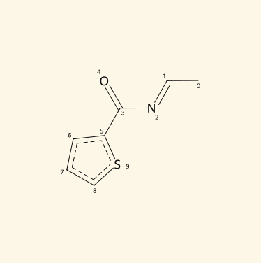 CC=NC(=O)c1cccs1